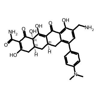 CN(C)c1ccc(-c2cc(CN)c(O)c3c2C[C@H]2C[C@H]4CC(O)=C(C(N)=O)C(=O)[C@@]4(O)C(O)=C2C3=O)cc1